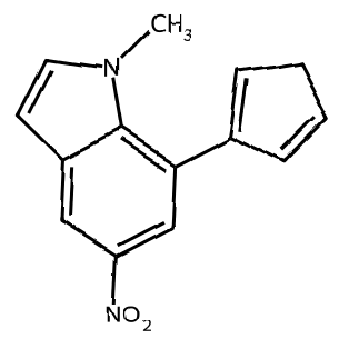 Cn1ccc2cc([N+](=O)[O-])cc(C3=CCC=C3)c21